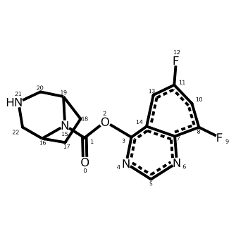 O=C(Oc1ncnc2c(F)cc(F)cc12)N1C2CCC1CNC2